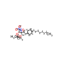 CCCCCCCCc1ccc(CC2ON([N+](=O)[O-])C23COC(C)(C)OC3)cc1